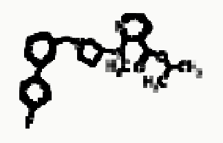 CC(C)OC(=O)c1cccnc1N(C)[C@@H]1CCN(Cc2cccc(-c3ccc(F)cc3)c2)C1